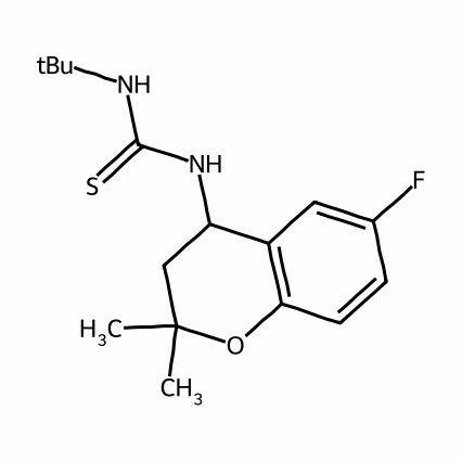 CC(C)(C)NC(=S)NC1CC(C)(C)Oc2ccc(F)cc21